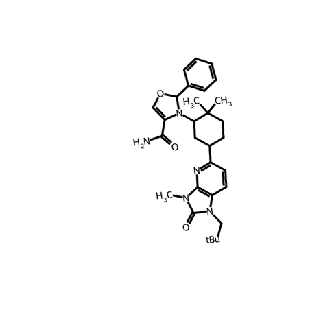 Cn1c(=O)n(CC(C)(C)C)c2ccc(C3CCC(C)(C)C(N4C(C(N)=O)=COC4c4ccccc4)C3)nc21